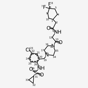 O=C(CC1CCC(F)(F)CC1)NCC(=O)N1CCN(Cc2cc(Cl)ccc2NS(=O)(=O)C2CC2)CC1